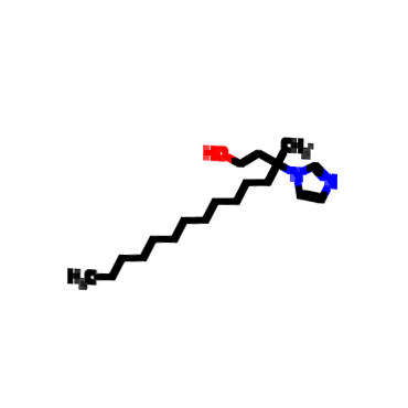 [CH2]C(CCO)(CCCCCCCCCCCC)n1ccnc1